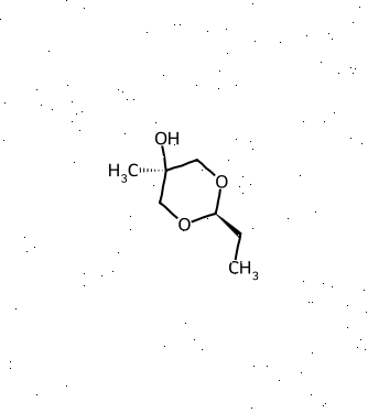 CC[C@H]1OC[C@@](C)(O)CO1